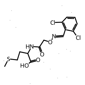 CSCCC(NC(=O)CON=Cc1c(Cl)cccc1Cl)C(=O)O